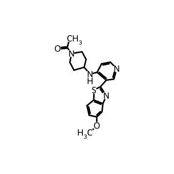 COc1ccc2sc(-c3cnccc3NC3CCN(C(C)=O)CC3)nc2c1